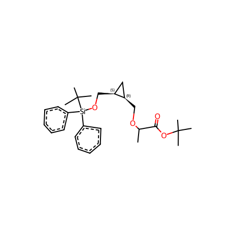 CC(OC[C@@H]1C[C@@H]1CO[Si](c1ccccc1)(c1ccccc1)C(C)(C)C)C(=O)OC(C)(C)C